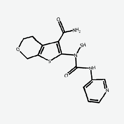 NC(=O)c1c(N(S)C(=O)Nc2cccnc2)sc2c1CCOC2